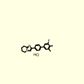 Cc1cc(-c2ccc(-c3cn4c(n3)CCCC4)cc2)cc(F)c1C.Cl